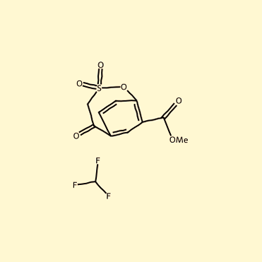 COC(=O)c1cc2ccc1OS(=O)(=O)CC2=O.FC(F)F